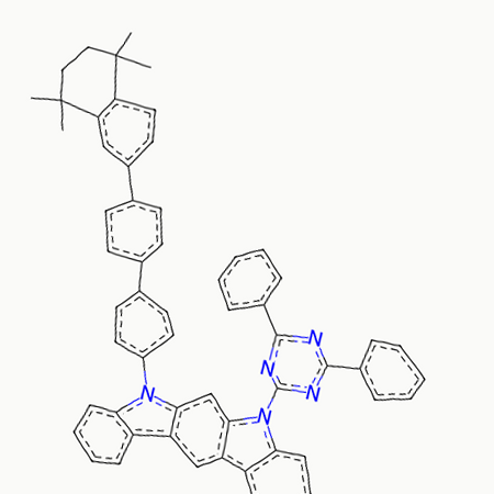 CC1(C)CCC(C)(C)c2cc(-c3ccc(-c4ccc(-n5c6ccccc6c6cc7c8ccccc8n(-c8nc(-c9ccccc9)nc(-c9ccccc9)n8)c7cc65)cc4)cc3)ccc21